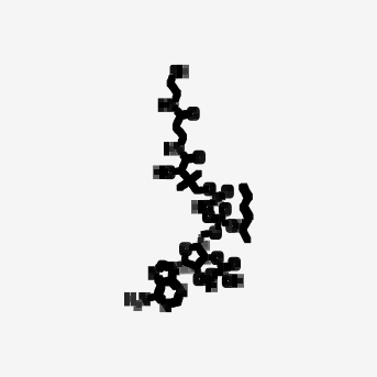 C=CC=CCC.CC(C)(COP(=O)(O)OP(=O)(O)OC[C@H]1O[C@@H](n2cnc3c(N)ncnc32)[C@H](O)[C@@H]1OP(=O)(O)O)C(O)C(=O)NCCC(=O)NCCS